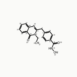 CCn1c(Cc2ccc(C(=O)NO)cc2)nc2ccccc2c1=O